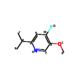 COc1cnc(C(C)C)cc1F